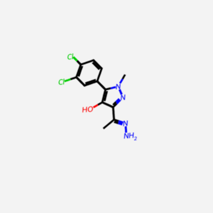 C/C(=N\N)c1nn(C)c(-c2ccc(Cl)c(Cl)c2)c1O